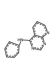 c1ccc(Nc2ncnc3ncccc23)cc1